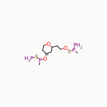 CP(P)SOCCC1C[C@H](OP(C)SP)CCO1